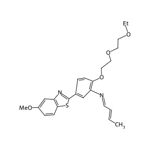 C/C=C/C=Nc1cc(-c2nc3cc(OC)ccc3s2)ccc1OCCOCCOCC